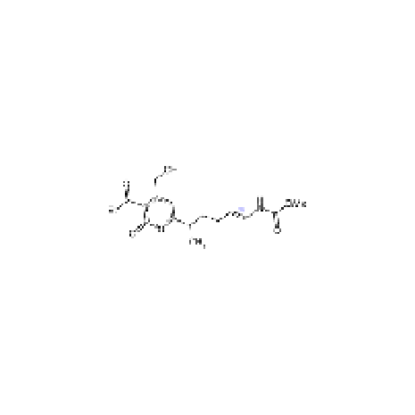 CCC(=O)c1c(CO)cc(C(C)CC/C=C/NC(=O)OC)oc1=O